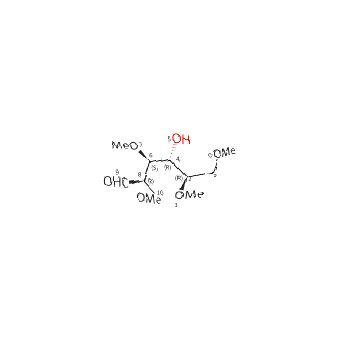 COC[C@@H](OC)[C@@H](O)[C@H](OC)[C@H](C=O)OC